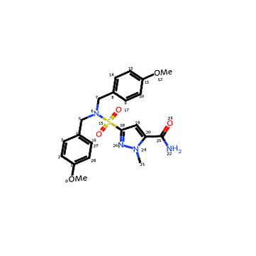 COc1ccc(CN(Cc2ccc(OC)cc2)S(=O)(=O)c2cc(C(N)=O)n(C)n2)cc1